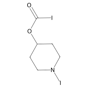 O=C(I)OC1CCN(I)CC1